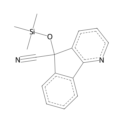 C[Si](C)(C)OC1(C#N)c2ccccc2-c2ncccc21